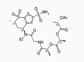 CCN(C(=O)CNC(=O)[C@H](C)OC(=O)[C@H](C)OC(=O)[C@H](C)OC(C)=O)[C@H]1C[C@H](C)S(=O)(=O)c2sc(S(N)(=O)=O)cc21